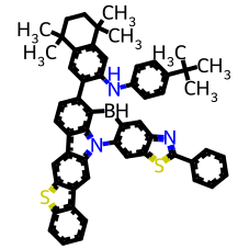 CC(C)(C)c1ccc(Nc2cc3c(cc2-c2ccc4c5cc6sc7ccccc7c6cc5n5c4c2Bc2cc4nc(-c6ccccc6)sc4cc2-5)C(C)(C)CCC3(C)C)cc1